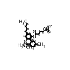 CCCCCc1cc(OC(=O)CCCO[N+](=O)[O-])c2c(c1)OC(C)(C)C1CC=C(C)C[C@@H]21